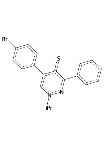 CC(C)n1cc(-c2ccc(Br)cc2)c(=S)c(-c2ccccc2)n1